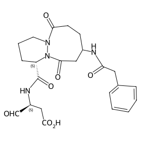 O=C[C@H](CC(=O)O)NC(=O)[C@@H]1CCCN2C(=O)CCC(NC(=O)Cc3ccccc3)CC(=O)N12